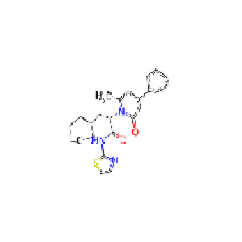 Cc1cc(-c2ccccc2)cc(=O)n1C(CC1CCCCC1)C(=O)Nc1nccs1